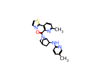 Cc1ccc(NC2CC3CC2N(C(=O)c2nc(C)ccc2-c2nccs2)C3)nc1